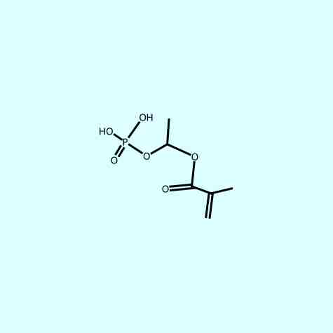 C=C(C)C(=O)OC(C)OP(=O)(O)O